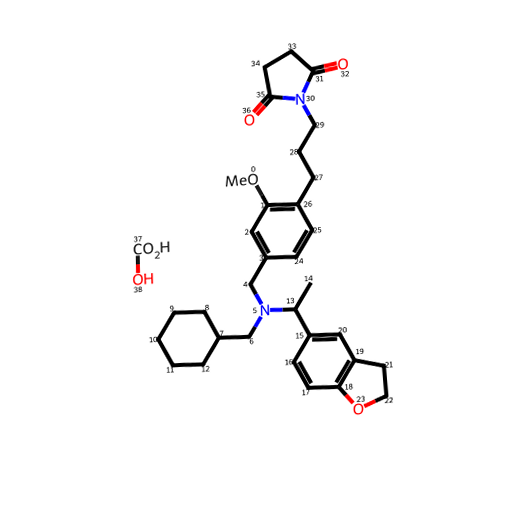 COc1cc(CN(CC2CCCCC2)C(C)c2ccc3c(c2)CCO3)ccc1CCCN1C(=O)CCC1=O.O=C(O)O